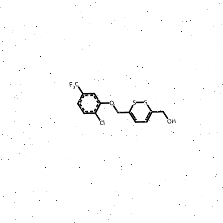 OCC1=CC=C(COc2cc(C(F)(F)F)ccc2Cl)SS1